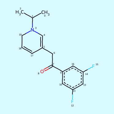 CC(C)N1C=C(CC(=O)c2cc(F)cc(F)c2)C=CC1